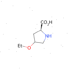 CCOC1CN[C@H](C(=O)O)C1